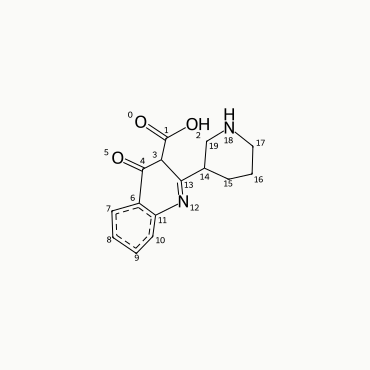 O=C(O)C1C(=O)c2ccccc2N=C1C1CCCNC1